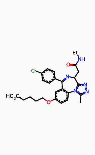 CCNC(=O)CC1N=C(c2ccc(Cl)cc2)c2cc(OCCCCC(=O)O)ccc2-n2c(C)nnc21